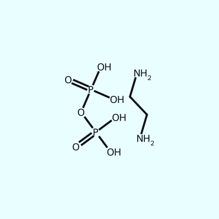 NCCN.O=P(O)(O)OP(=O)(O)O